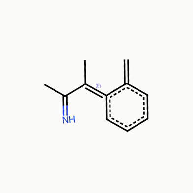 C=c1cccc/c1=C(/C)C(C)=N